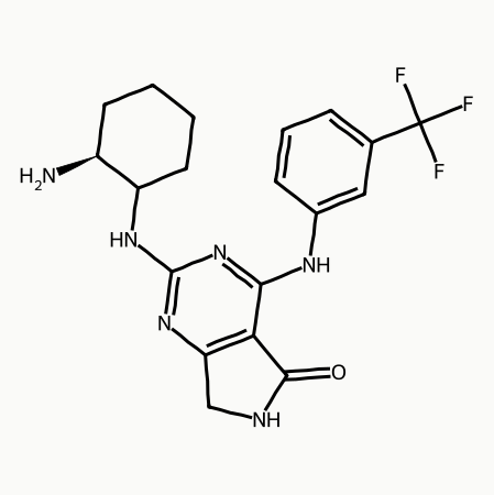 N[C@H]1CCCCC1Nc1nc2c(c(Nc3cccc(C(F)(F)F)c3)n1)C(=O)NC2